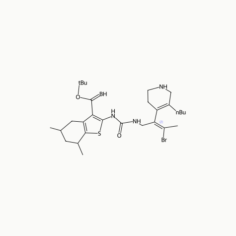 B=C(OC(C)(C)C)c1c(NC(=O)NC/C(C2=C(CCCC)CNCC2)=C(/C)Br)sc2c1CC(C)CC2C